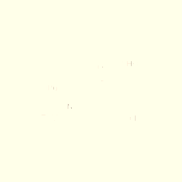 CC(C)(C)C1CC(C(=O)c2cc(Cl)ccc2C=O)CCN1C(=O)O